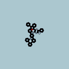 c1ccc(-c2ccc(-c3nc4c(nc3-n3c5ccccc5c5cc6c(cc53)c3cccc5c3n6-c3ccccc3-c3ccccc3-5)oc3ccccc34)c3ccccc23)cc1